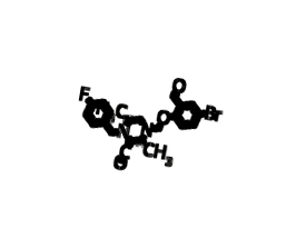 C[C@@H]1C(=C=O)N(Cc2ccc(F)cc2)[C@@H](C)CN1COc1ccc(Br)cc1C=O